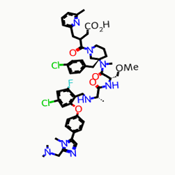 COC[C@H](NC(=O)[C@H](C)NCc1c(F)cc(Cl)cc1Oc1ccc(-c2cnc(CN(C)C)n2C)cc1)C(=O)N(C)[C@@]1(Cc2ccc(Cl)cc2)CCCN(C(=O)C(CC(=O)O)Cc2cccc(C)n2)C1